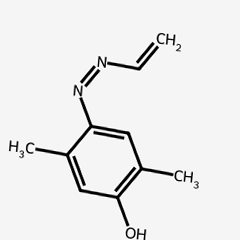 C=C/N=N\c1cc(C)c(O)cc1C